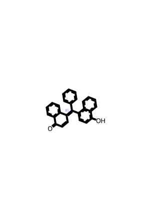 O=C1C=C/C(=C(/c2ccccc2)c2ccc(O)c3ccccc23)c2ccccc21